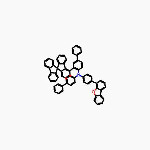 c1ccc(-c2ccc(N(c3ccc(-c4cccc5c4oc4ccccc45)cc3)c3ccc(-c4ccccc4)cc3-c3cccc4c3-c3ccccc3C43c4ccccc4-c4ccccc43)cc2)cc1